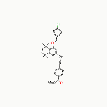 COC(=O)c1ccc(C#C[Se]c2cc(OCc3ccc(Cl)cc3)c3c(c2)C(C)(C)CCC3(C)C)cc1